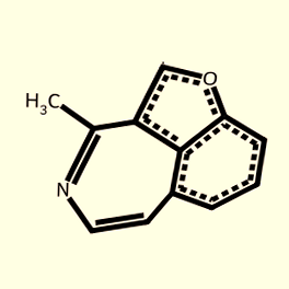 CC1=NC=Cc2cccc3o[c]c1c23